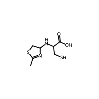 CC1=NC(NC(CS)C(=O)O)CS1